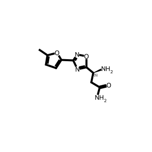 Cc1ccc(-c2noc([C@@H](N)CC(N)=O)n2)o1